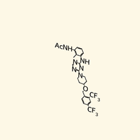 CC(=O)Nc1cccc(Nc2ncnc(N3CCC(OCc4ccc(C(F)(F)F)cc4C(F)(F)F)CC3)n2)c1C